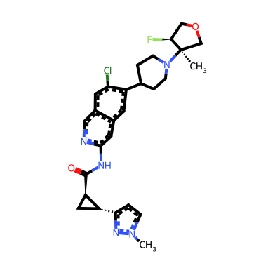 Cn1ccc([C@@H]2C[C@H]2C(=O)Nc2cc3cc(C4CCN([C@]5(C)COC[C@@H]5F)CC4)c(Cl)cc3cn2)n1